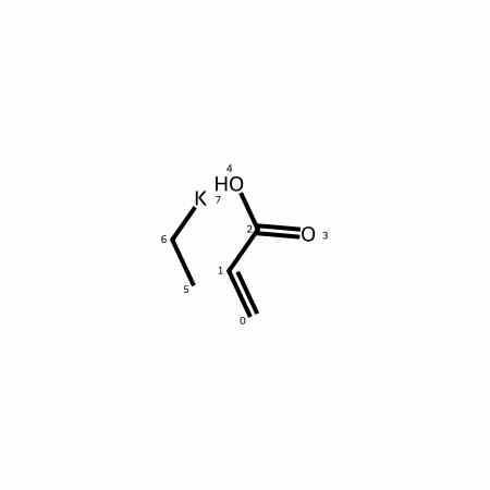 C=CC(=O)O.C[CH2][K]